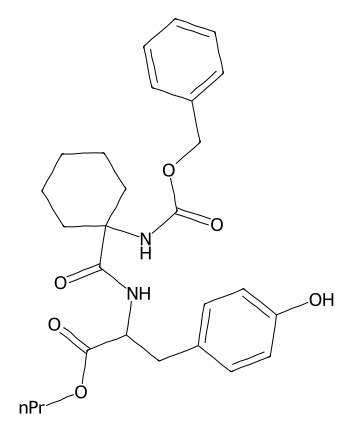 CCCOC(=O)C(Cc1ccc(O)cc1)NC(=O)C1(NC(=O)OCc2ccccc2)CCCCC1